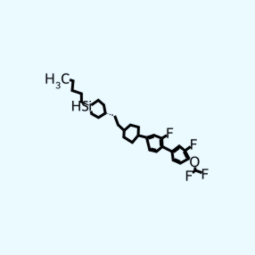 CCCCC[Si@H]1CC[C@H](CCC2CCC(c3ccc(-c4ccc(OC(F)F)c(F)c4)c(F)c3)CC2)CC1